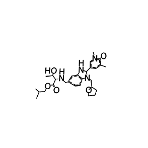 Cc1cc(C2Nc3cc(CN[C@H](C(=O)OCC(C)C)[C@@H](C)O)ccc3N2C[C@H]2CCCO2)cn(C)c1=O